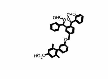 Cc1cc(C(=O)O)cc(C)c1-c1cccc(OCc2ccc(C(OC=O)c3ccccc3)c(C(OC=O)c3ccccc3)c2)c1